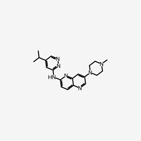 CC(C)c1cnnc(Nc2ccc3ncc(N4CCN(C)CC4)cc3n2)c1